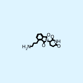 NCCCc1cccc2c1C(=O)N(C1CCC(=O)NC1=O)C2=O